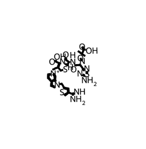 CC(C)(O/N=C(\C(=O)N[C@@H]1C(=O)N2C(C(=O)O)=C(C[n+]3ccc4ccn(Cc5cc(C(=N)N)cs5)c4c3)CS[C@H]12)c1nsc(N)n1)C(=O)O